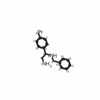 CC(C)c1ccc(C(CN)NCc2ccccc2)cc1